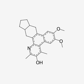 COc1cc2c3c(c4nc(C)c(O)c(C)c4c2cc1OC)CC1CCCC1C3